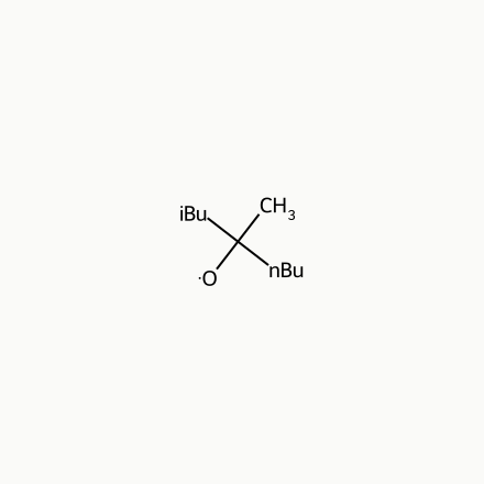 CCCCC(C)([O])C(C)CC